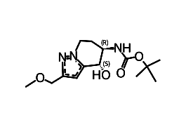 COCc1cc2n(n1)CC[C@@H](NC(=O)OC(C)(C)C)[C@@H]2O